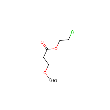 O=COCCC(=O)OCCCl